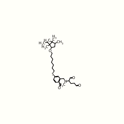 CCC1(C)C(OCCCCCCCSc2ccc(C=O)c(CN(C)C(C=O)CCC=O)c2)CC(C)C1(C)C